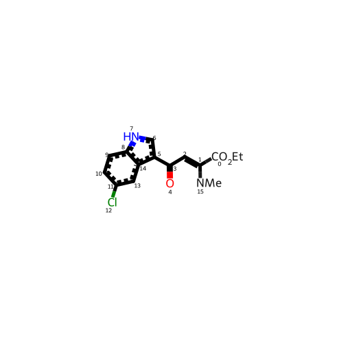 CCOC(=O)/C(=C/C(=O)c1c[nH]c2ccc(Cl)cc12)NC